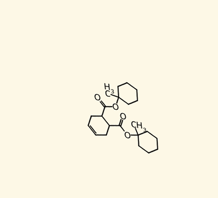 CC1(OC(=O)C2CC=CCC2C(=O)OC2(C)CCCCC2)CCCCC1